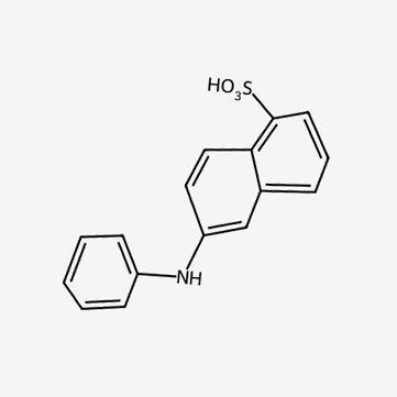 O=S(=O)(O)c1cccc2cc(Nc3ccccc3)ccc12